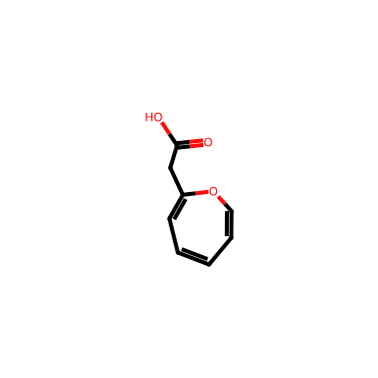 O=C(O)CC1=CC=CC=CO1